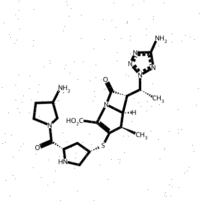 C[C@H]([C@H]1C(=O)N2C(C(=O)O)=C(S[C@@H]3CN[C@H](C(=O)N4CCC(N)C4)C3)[C@H](C)[C@H]12)n1nnc(N)n1